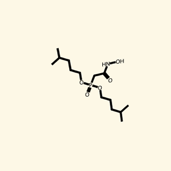 CC(C)CCCOP(=O)(CC(=O)NO)OCCCC(C)C